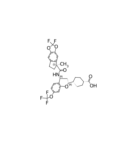 C[C@]1(C(=O)N[C@@H]2C[C@H]([C@H]3CC[C@@H](C(=O)O)CC3)Oc3cc(OC(F)(F)F)ccc32)CCc2cc3c(cc21)OC(F)(F)O3